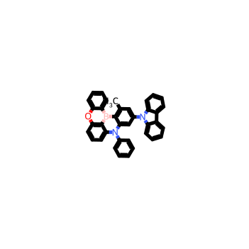 Cc1cc(-n2c3ccccc3c3ccccc32)cc2c1B1c3ccccc3Oc3cccc(c31)N2c1ccccc1